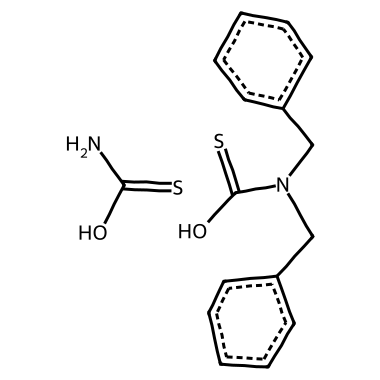 NC(O)=S.OC(=S)N(Cc1ccccc1)Cc1ccccc1